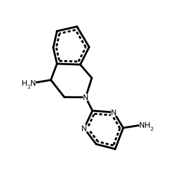 Nc1ccnc(N2Cc3ccccc3C(N)C2)n1